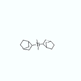 [CH3][Ti]([CH3])([CH]1CC2CCC1C2)[CH]1CC2CCC1C2